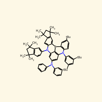 CC(C)(C)c1cc(N2c3ccc(C(C)(C)C)cc3B3c4cc5c(cc4N(c4ccc6c(c4)C(C)(C)CC6(C)C)c4cc(N(c6ccccc6)c6ccccc6)cc2c43)C(C)(C)CC5(C)C)cc(C(C)(C)C)c1